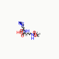 CC(C)(C)OC(=O)NCCCC[C@H](NC(=O)CCN=[N+]=[N-])C(=O)O